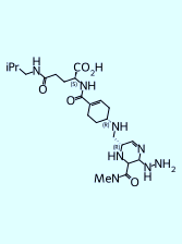 CNC(=O)C1N[C@H](CN[C@H]2CC=C(C(=O)N[C@@H](CCC(=O)NCC(C)C)C(=O)O)CC2)C=NC1NN